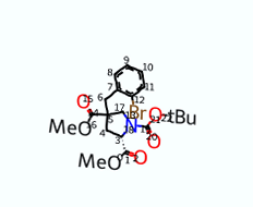 COC(=O)[C@@H]1CC(Cc2ccccc2Br)(C(=O)OC)CN1C(=O)OC(C)(C)C